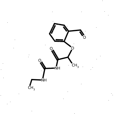 CCNC(=O)NC(=O)C(C)Oc1ccccc1C=O